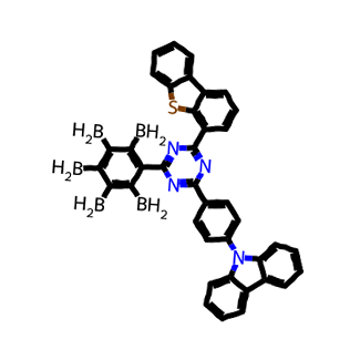 Bc1c(B)c(B)c(-c2nc(-c3ccc(-n4c5ccccc5c5ccccc54)cc3)nc(-c3cccc4c3sc3ccccc34)n2)c(B)c1B